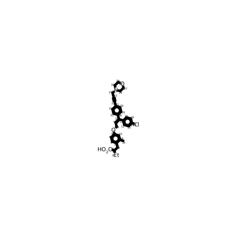 CCC(Cc1ccc(OC/C=C(\c2ccc(Cl)cc2)c2ccc(C#CCN3CCOCC3)cc2)cc1C)C(=O)O